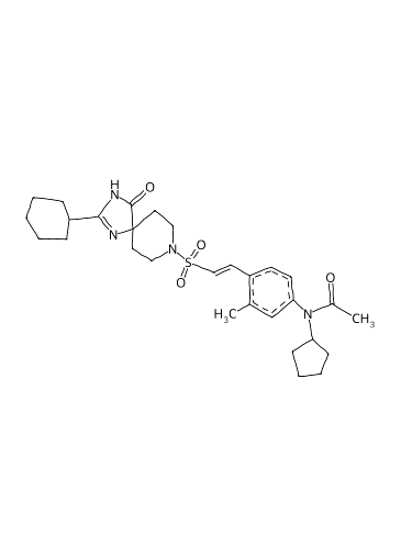 CC(=O)N(c1ccc(C=CS(=O)(=O)N2CCC3(CC2)N=C(C2CCCCC2)NC3=O)c(C)c1)C1CCCC1